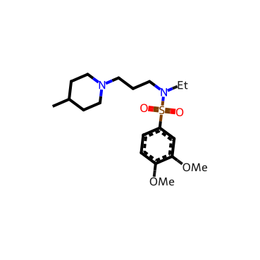 CCN(CCCN1CCC(C)CC1)S(=O)(=O)c1ccc(OC)c(OC)c1